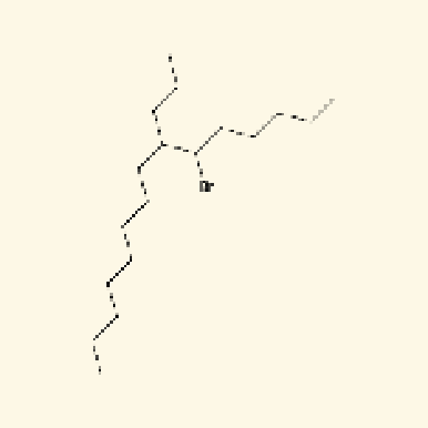 CCCCCCCCC(CCC)C(Br)CCCCC